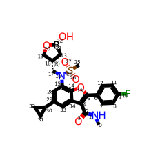 CNC(=O)c1c(-c2ccc(F)cc2)oc2c(N(C[C@@H]3COB(O)C3)S(C)(=O)=O)cc(C3CC3)cc12